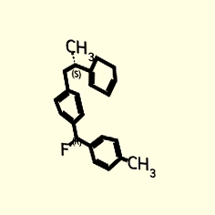 Cc1ccc([C@@H](F)c2ccc(C[C@H](C)C3=CC=CCC3)cc2)cc1